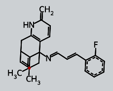 C=C1C=CC2=C(CC3C=C(C)CC2(/N=C/C=C/c2ccccc2F)/C3=C/C)N1